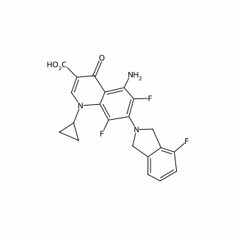 Nc1c(F)c(N2Cc3cccc(F)c3C2)c(F)c2c1c(=O)c(C(=O)O)cn2C1CC1